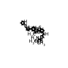 Cc1ccc(NC2CN(C(=O)[C@@H](N)C(C)C)C2)cc1C(=O)N[C@H](C)c1cccc(-c2ccc(CNC3CCCC3)s2)c1